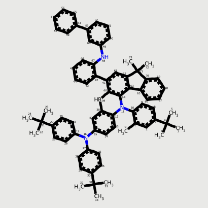 Cc1cc(C(C)(C)C)ccc1N1c2ccc(N(c3ccc(C(C)(C)C)cc3)c3ccc(C(C)(C)C)cc3)cc2Bc2c(-c3ccccc3Nc3cccc(-c4ccccc4)c3)cc3c(c21)-c1ccccc1C3(C)C